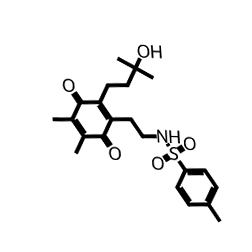 CC1=C(C)C(=O)C(CCC(C)(C)O)=C(CCNS(=O)(=O)c2ccc(C)cc2)C1=O